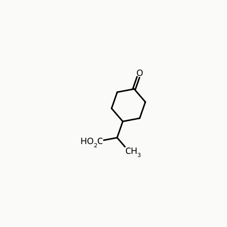 CC(C(=O)O)C1CCC(=O)CC1